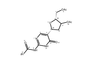 CC(=O)OC[C@H]1O[C@@H](c2cnc(NC(=O)C(C)C)[nH]c2=O)CC1OC(C)=O